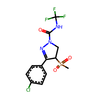 CS(=O)(=O)C1CN(C(=O)NC(F)(F)F)N=C1c1ccc(Cl)cc1